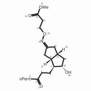 CCCCCC(=O)CC[C@H]1[C@@H]2C/C(=N/OCCC(=O)OC)C[C@@H]2C[C@@H]1O